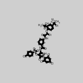 CCC(Oc1ccc(C(C)(C)CC)cc1C(C)(C)CC)C(=O)Nc1cccc(C(=O)Nc2[nH]n(-c3c(Cl)cc(Cl)cc3Cl)c(=O)c2OS(=O)(=O)c2ccc(Cl)cc2)c1